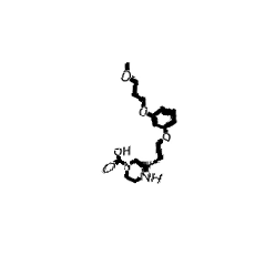 COCCCOc1cccc(OCC[C@@H]2CN(C(=O)O)CCN2)c1